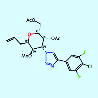 C=CC[C@H]1O[C@H](COC(C)=O)[C@H](OC(C)=O)[C@H](n2cc(-c3cc(F)c(Cl)c(F)c3)nn2)[C@H]1OC